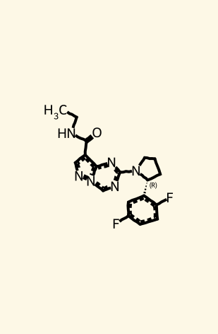 CCNC(=O)c1cnn2cnc(N3CCC[C@@H]3c3cc(F)ccc3F)nc12